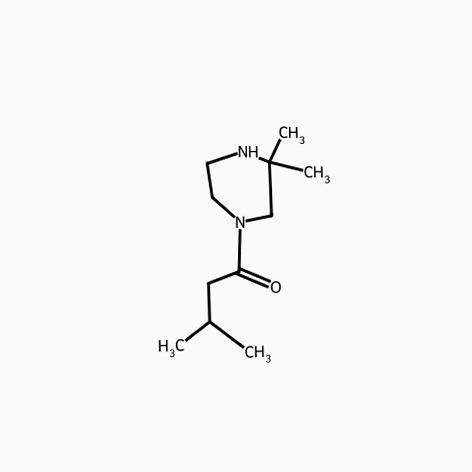 CC(C)CC(=O)N1CCNC(C)(C)C1